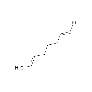 CC=CCC[CH]C=CCC